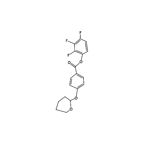 O=C(Oc1ccc(F)c(F)c1F)c1ccc(OC2CCCCO2)cc1